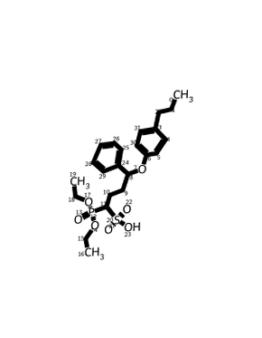 CCCc1ccc(OC(CCC(P(=O)(OCC)OCC)S(=O)(=O)O)c2ccccc2)cc1